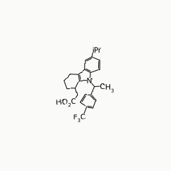 CC(C)c1ccc2c(c1)c1c(n2C(C)c2ccc(C(F)(F)F)cc2)C(CC(=O)O)CCC1